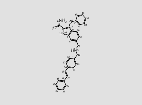 NC(=O)c1[nH]c2cc(CNCc3ccc(/C=C/c4ccccc4)cc3)ccc2c1Sc1ccccc1